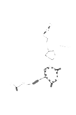 [N-]=[N+]=NCOC1C[C@@H](n2cc(C#CCNC(=O)C(F)(F)F)c(=O)[nH]c2=O)O[C@H]1CO